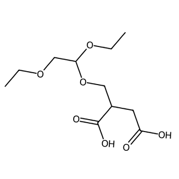 CCOCC(OCC)OCC(CC(=O)O)C(=O)O